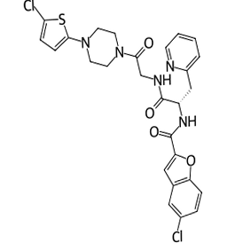 O=C(N[C@@H](Cc1ccccn1)C(=O)NCC(=O)N1CCN(c2ccc(Cl)s2)CC1)c1cc2cc(Cl)ccc2o1